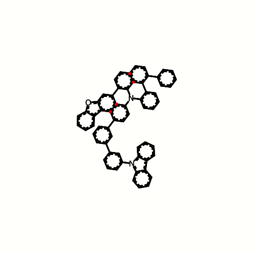 c1ccc(-c2ccccc2-c2ccccc2N(c2ccc(-c3cccc(-c4cccc(-n5c6ccccc6c6ccccc65)c4)c3)cc2)c2ccccc2-c2ccc3c(c2)oc2ccccc23)cc1